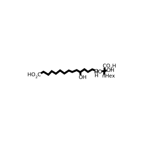 CCCCCCC(O)(O)C(=O)O.O=C(O)CCCCCCCCCC(O)CCCO